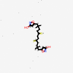 CC(C)(CCC(=S)CCC(=S)CCC(C)(C)Cc1cc(O)no1)Cc1cc(O)no1